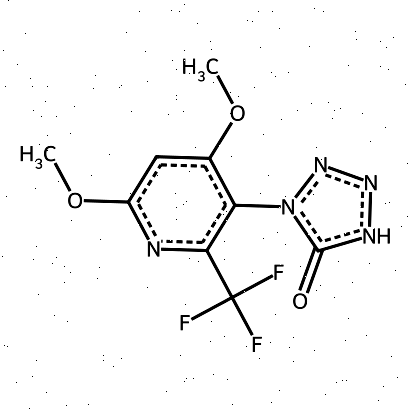 COc1cc(OC)c(-n2nn[nH]c2=O)c(C(F)(F)F)n1